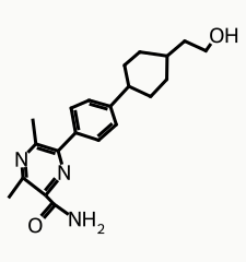 Cc1nc(C)c(-c2ccc(C3CCC(CCO)CC3)cc2)nc1C(N)=O